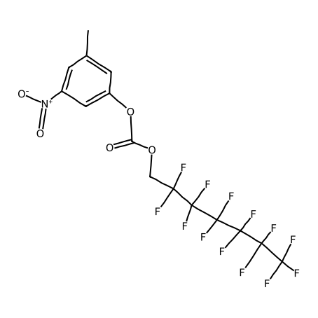 Cc1cc(OC(=O)OCC(F)(F)C(F)(F)C(F)(F)C(F)(F)C(F)(F)C(F)(F)F)cc([N+](=O)[O-])c1